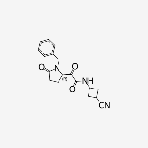 N#CC1CC(NC(=O)C(=O)[C@H]2CCC(=O)N2Cc2ccccc2)C1